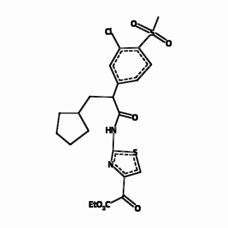 CCOC(=O)C(=O)c1csc(NC(=O)C(CC2CCCC2)c2ccc(S(C)(=O)=O)c(Cl)c2)n1